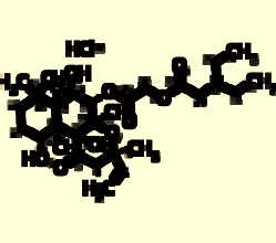 C=C[C@@]1(C)CC(=O)[C@]2(O)[C@@]3(C)[C@@H](O)CCC(C)(C)[C@@H]3[C@H](O)[C@H](OC(=O)COC(=O)CN(CC)CC)[C@@]2(C)O1.Cl